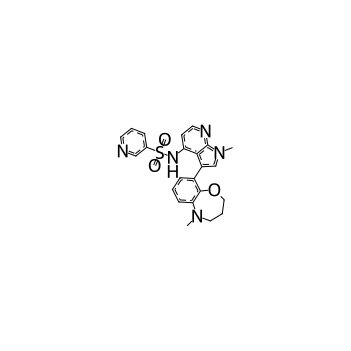 CN1CCCOc2c(-c3cn(C)c4nccc(NS(=O)(=O)c5cccnc5)c34)cccc21